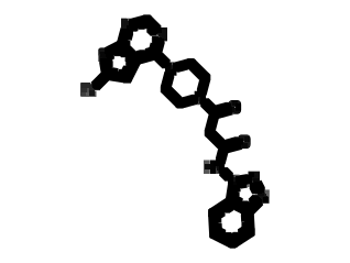 CCc1cc2c(N3CCN(C(=O)CC(=O)Nn4nnc5ccccc54)CC3)ncnc2s1